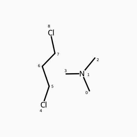 CN(C)C.ClCCCCl